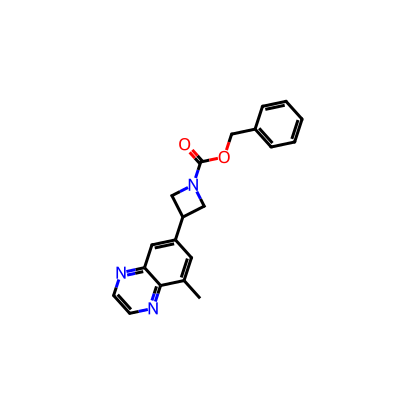 Cc1cc(C2CN(C(=O)OCc3ccccc3)C2)cc2nccnc12